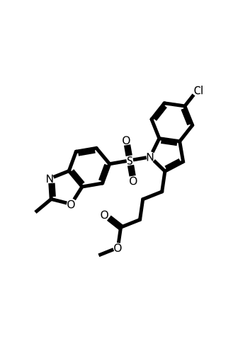 COC(=O)CCCc1cc2cc(Cl)ccc2n1S(=O)(=O)c1ccc2nc(C)oc2c1